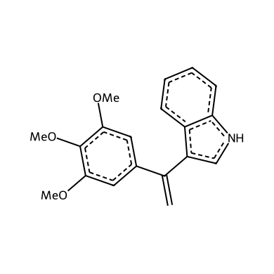 C=C(c1cc(OC)c(OC)c(OC)c1)c1c[nH]c2ccccc12